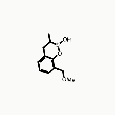 COCc1cccc2c1OB(O)C(C)C2